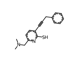 CN(C)Cc1ccc(C#CCc2ccccc2)c(S)n1